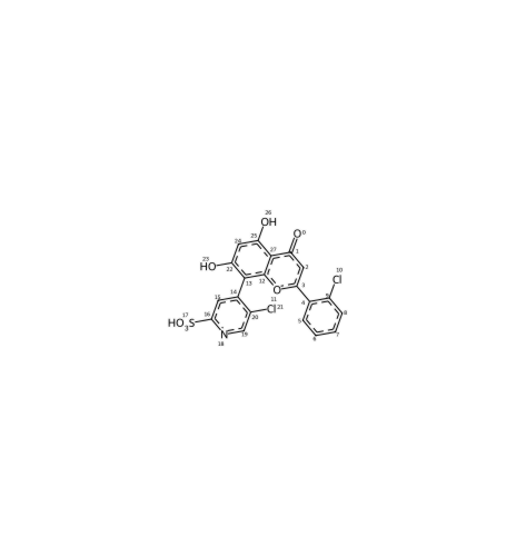 O=c1cc(-c2ccccc2Cl)oc2c(-c3cc(S(=O)(=O)O)ncc3Cl)c(O)cc(O)c12